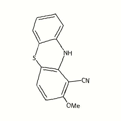 COc1ccc2c(c1C#N)Nc1ccccc1S2